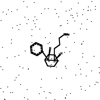 CNCCC[C@@H]1C2CCC(CC2)[C@@H]1c1ccccc1